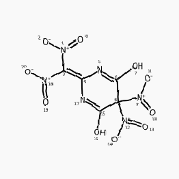 O=[N+]([O-])C(=C1N=C(O)C([N+](=O)[O-])([N+](=O)[O-])C(O)=N1)[N+](=O)[O-]